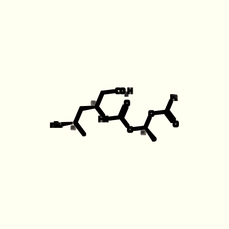 CCCC[C@@H](C)C[C@@H](CC(=O)O)NC(=O)O[C@H](C)OC(=O)CC